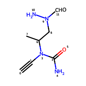 C#CN(C(N)=O)C(C)CN(N)C=O